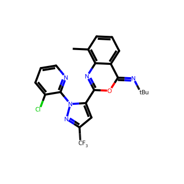 Cc1cccc2/c(=N/C(C)(C)C)oc(-c3cc(C(F)(F)F)nn3-c3ncccc3Cl)nc12